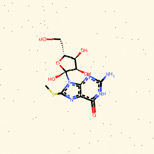 CSc1nc2c(=O)[nH]c(N)nc2n1[C@]1(O)O[C@H](CO)[C@@H](O)[C@H]1O